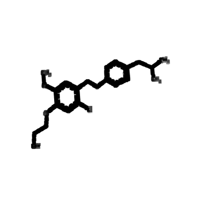 COc1cc(CCc2ccc(CC(C)C)cc2)c(Cl)cc1OCCO